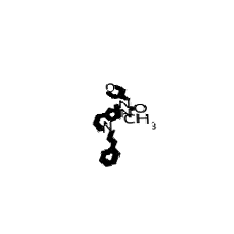 CN1C(=O)N(CC2CCOCC2)CC12CC1CCCN(CCCc3ccccc3)C1C2